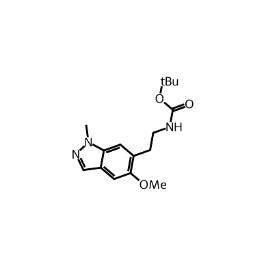 COc1cc2cnn(C)c2cc1CCNC(=O)OC(C)(C)C